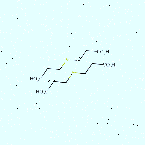 O=C(O)CCSCCC(=O)O.O=C(O)CCSCCC(=O)O